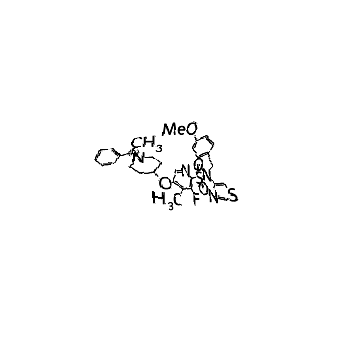 COc1ccc(CN(c2cscn2)S(=O)(=O)c2ncc(OC3CCN([C@H](C)c4ccccc4)CC3)c(C)c2F)cc1